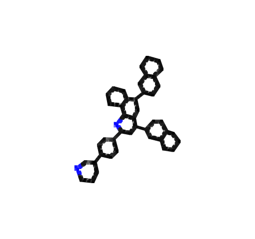 c1cncc(-c2ccc(-c3cc(-c4ccc5ccccc5c4)c4cc(-c5ccc6ccccc6c5)c5ccccc5c4n3)cc2)c1